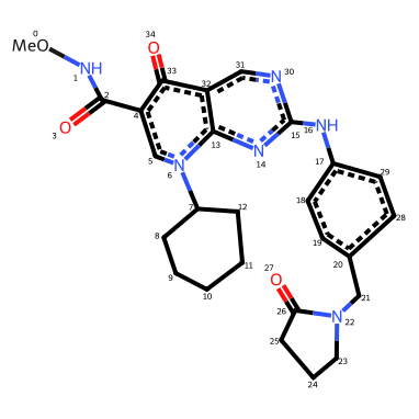 CONC(=O)c1cn(C2CCCCC2)c2nc(Nc3ccc(CN4CCCC4=O)cc3)ncc2c1=O